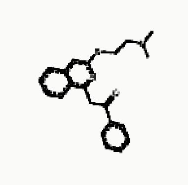 CN(C)CCSc1cc2ccccc2c(CC(=O)c2ccccc2)n1